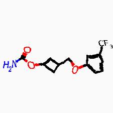 NC(=O)OC1CC(COc2cccc(C(F)(F)F)c2)C1